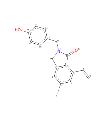 C=Cc1cc(F)cc2c1C(=O)N(Cc1ccc(O)cc1)C2